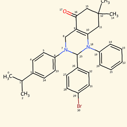 CC(C)c1ccc(N2CC3=C(CC(C)(C)CC3=O)N(c3ccccc3)C2c2ccc(Br)cc2)cc1